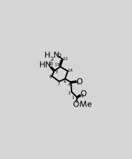 COC(=O)CC(=O)C1CCC(=N)/C(=C\N)C1